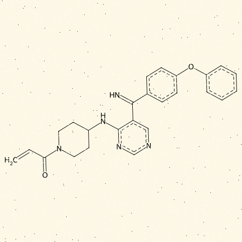 C=CC(=O)N1CCC(Nc2ncncc2C(=N)c2ccc(Oc3ccccc3)cc2)CC1